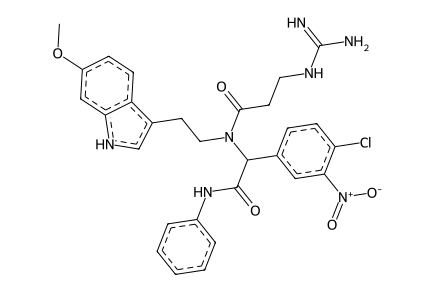 COc1ccc2c(CCN(C(=O)CCNC(=N)N)C(C(=O)Nc3ccccc3)c3ccc(Cl)c([N+](=O)[O-])c3)c[nH]c2c1